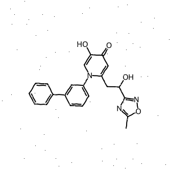 Cc1nc(C(O)Cc2cc(=O)c(O)cn2-c2cccc(-c3ccccc3)c2)no1